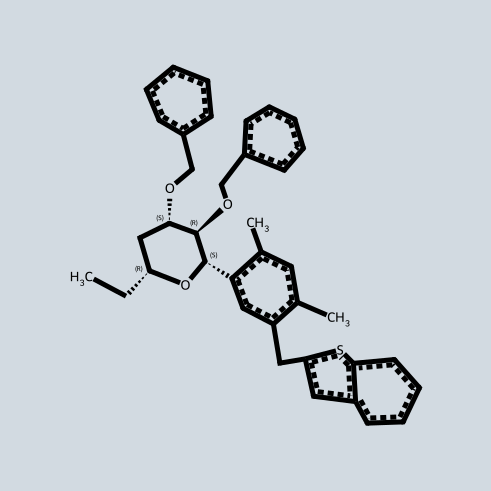 CC[C@@H]1C[C@H](OCc2ccccc2)[C@@H](OCc2ccccc2)[C@H](c2cc(Cc3cc4ccccc4s3)c(C)cc2C)O1